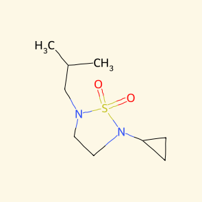 CC(C)CN1CCN(C2CC2)S1(=O)=O